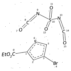 CCOC(=O)c1cc(Br)cs1.O=C=NS(=O)(=O)N=C=O